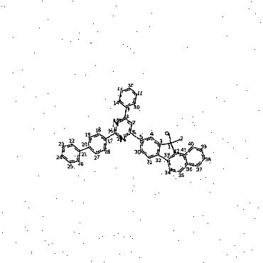 CC1(C)c2cc(-c3cc(-c4ccccc4)nc(-c4ccc(-c5ccccc5)cc4)n3)ccc2-c2ccc3ccccc3c21